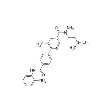 Cc1cc(C(=O)N(C)CCN(C)C)cnc1-c1ccc(C(=O)Nc2ccccc2N)cc1